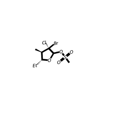 CC[C@H]1OC(OS(C)(=O)=O)[C@](Cl)(Br)[C@@H]1C